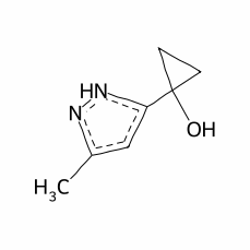 Cc1cc(C2(O)CC2)[nH]n1